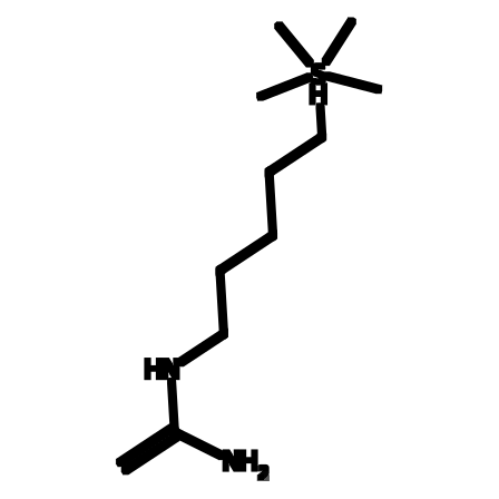 C=C(N)NCCCCC[SH](C)(C)(C)C